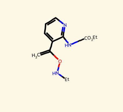 C=C(ONCC)c1cccnc1NC(=O)OCC